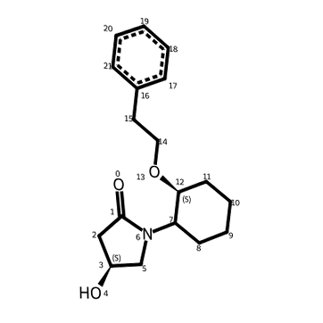 O=C1C[C@H](O)CN1C1CCCC[C@@H]1OCCc1ccccc1